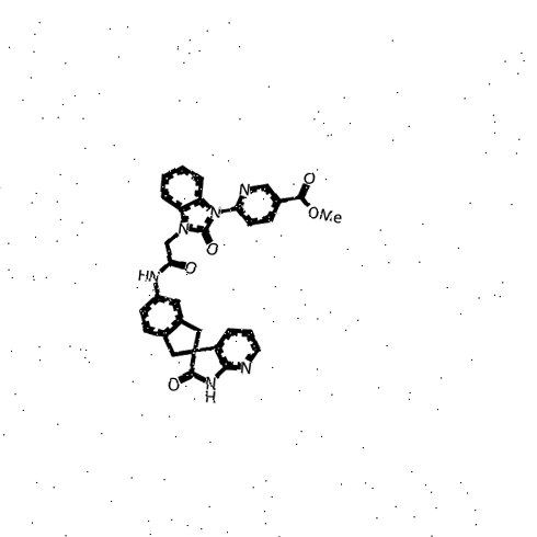 COC(=O)c1ccc(-n2c(=O)n(CC(=O)Nc3ccc4c(c3)CC3(C4)C(=O)Nc4ncccc43)c3ccccc32)nc1